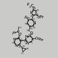 COc1cnc(-c2c(OC(F)F)ncnc2C2CC2)nc1OCc1cnc(-c2nc(C(F)(F)F)cn2C(C)C)c(F)c1